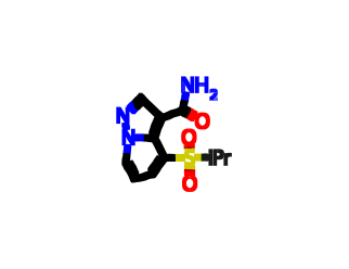 CC(C)S(=O)(=O)c1cccn2ncc(C(N)=O)c12